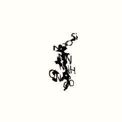 CCOC(=O)c1sc(Nc2nc(C)cn3c(-c4cnn(COCC[Si](C)(C)C)c4)cnc23)cc1CN1CCOCC1